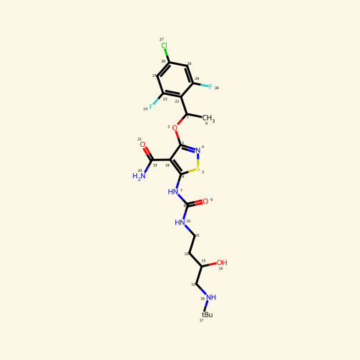 CC(Oc1nsc(NC(=O)NCCC(O)CNC(C)(C)C)c1C(N)=O)c1c(F)cc(Cl)cc1F